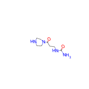 NC(=O)NCCC(=O)N1CCNCC1